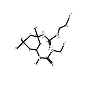 CN(C(=O)OCF)C1CC(C)(C)CC(C)(NC(=O)OCCF)C1